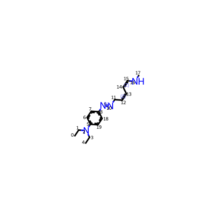 CCN(CC)c1ccc(/N=N/C/C=C\C=C/NC)cc1